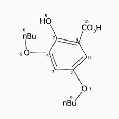 CCCCOc1cc(OCCCC)c(O)c(C(=O)O)c1